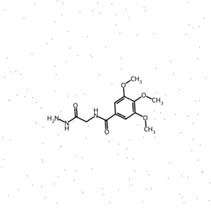 COc1cc(C(=O)NCC(=O)NN)cc(OC)c1OC